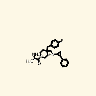 C[C@@H](N)C(=O)N1CCC(CNC2CC2c2ccccc2)(Cc2ccc(F)cc2)CC1